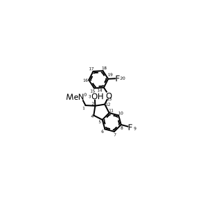 CNCC1(O)Cc2ccc(F)cc2C1Oc1ccccc1F